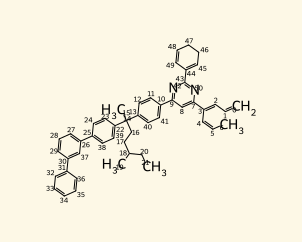 C=C/C=C(\C=C/C)c1cc(-c2ccc(C(C)(CCC(C)CC)c3ccc(-c4cccc(-c5ccccc5)c4)cc3)cc2)nc(C2=CCCC=C2)n1